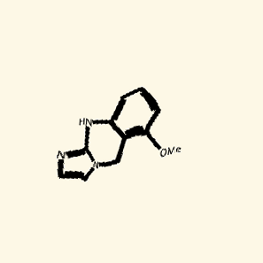 COc1cccc2c1Cn1ccnc1N2